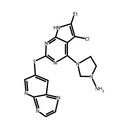 CCc1[nH]c2nc(Sc3cnc4nccnc4c3)nc(N3CCN(N)C3)c2c1Cl